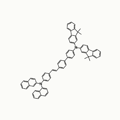 CC1(C)c2ccccc2-c2ccc(N(c3ccc(-c4ccc(/C=C/c5ccc(N(c6ccc7ccccc7c6)c6cccc7ccccc67)cc5)cc4)cc3)c3ccc4c(c3)C(C)(C)c3ccccc3-4)cc21